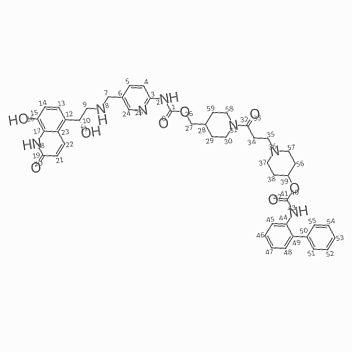 O=C(Nc1ccc(CNC[C@H](O)c2ccc(O)c3[nH]c(=O)ccc23)cn1)OCC1CCN(C(=O)CCN2CCC(OC(=O)Nc3ccccc3-c3ccccc3)CC2)CC1